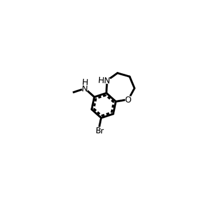 CNc1cc(Br)cc2c1NCCCO2